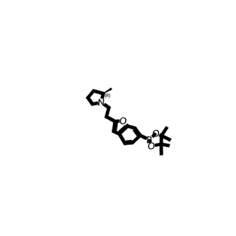 C[C@@H]1CCCN1CCc1cc2ccc(B3OC(C)(C)C(C)(C)O3)cc2o1